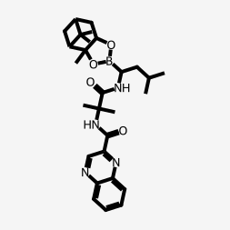 CC(C)CC(NC(=O)C(C)(C)NC(=O)c1cnc2ccccc2n1)B1OC2CC3CC(C3(C)C)C2(C)O1